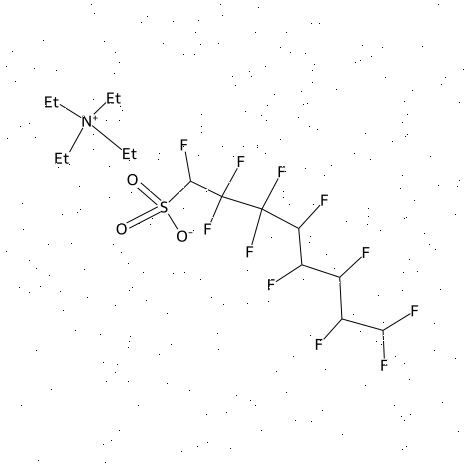 CC[N+](CC)(CC)CC.O=S(=O)([O-])C(F)C(F)(F)C(F)(F)C(F)C(F)C(F)C(F)C(F)F